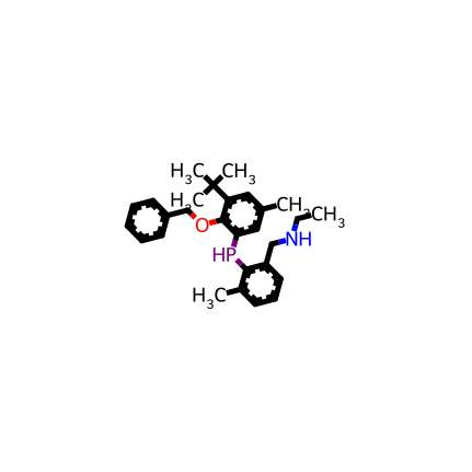 CCNCc1cccc(C)c1Pc1cc(C)cc(C(C)(C)C)c1OCc1ccccc1